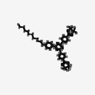 CCCCCCCCCCCCc1ccc(-c2nc(-c3ccc(B4OC(C)(C)C(C)(C)O4)cc3)nc(-c3ccc(B4OC(C)(C)C(C)(C)O4)cc3)n2)cc1